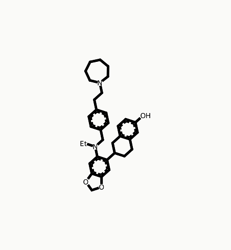 CCN(Cc1ccc(CCN2CCCCCC2)cc1)c1cc2c(cc1C1CCc3cc(O)ccc3C1)OCO2